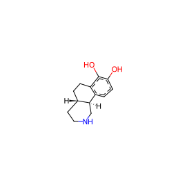 Oc1ccc2c(c1O)CC[C@H]1CCNC[C@H]21